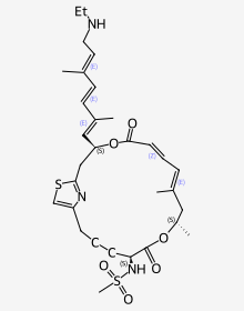 CCNC/C=C(C)/C=C/C(C)=C/[C@@H]1Cc2nc(cs2)CCC[C@H](NS(C)(=O)=O)C(=O)O[C@@H](C)C/C(C)=C/C=C\C(=O)O1